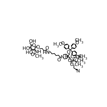 COc1ccc(C(OCC2(COP(OCCC#N)N(C(C)C)C(C)C)CCN(C(=O)CCCCCNC(=O)CCCO[C@@H]3O[C@H](CO)[C@H](O)[C@H](O)[C@H]3NC(C)=O)CC2)(c2ccc(OC)cc2)c2ccc(OC)cc2)cc1